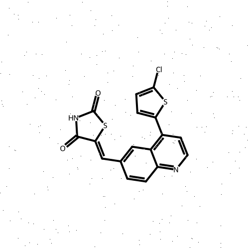 O=C1NC(=O)C(=Cc2ccc3nccc(-c4ccc(Cl)s4)c3c2)S1